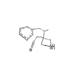 CC(Cc1ccccc1)C1(CC#N)CNC1